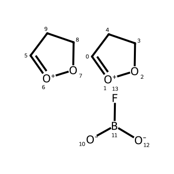 C1=[O+]OCC1.C1=[O+]OCC1.[O-]B([O-])F